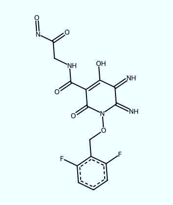 N=C1C(=N)N(OCc2c(F)cccc2F)C(=O)C(C(=O)NCC(=O)N=O)=C1O